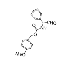 COc1ccc(COC(=O)NC([C]=O)c2ccccc2)cc1